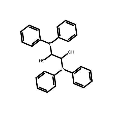 OC(C(S)P(c1ccccc1)c1ccccc1)P(c1ccccc1)c1ccccc1